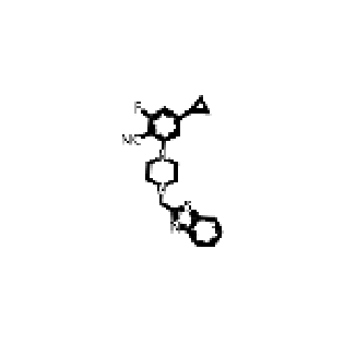 N#Cc1c(F)cc(C2CC2)cc1N1CCN(Cc2nc3ccccc3s2)CC1